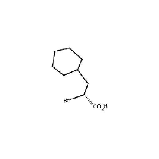 O=C(O)[C@H](Br)CC1CCCCC1